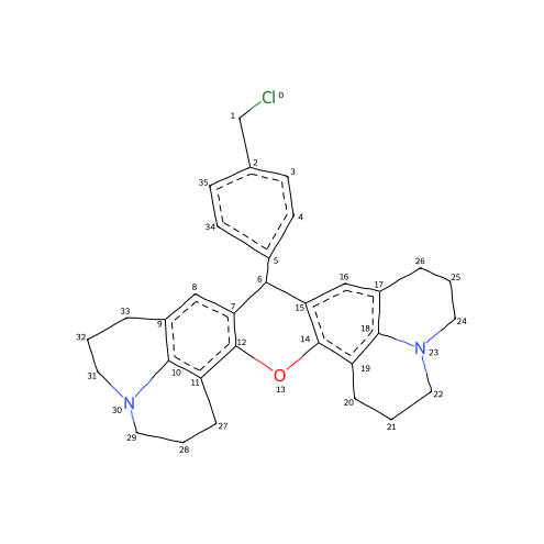 ClCc1ccc(C2c3cc4c5c(c3Oc3c2cc2c6c3CCCN6CCC2)CCCN5CCC4)cc1